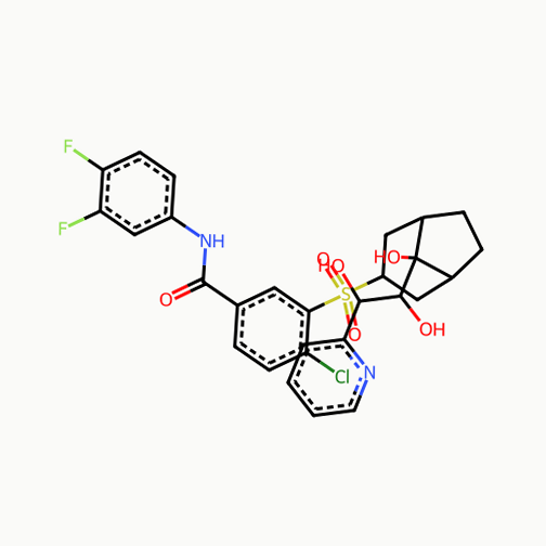 O=C(Nc1ccc(F)c(F)c1)c1ccc(Cl)c(S(=O)(=O)C2CC3CCC(C2)C3(O)C(O)C(O)c2ccccn2)c1